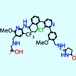 COc1cc(-c2nccc(-c3cccc4c3CCC[C@@H]4Nc3nc(OC)c(CNC[C@@H](C)O)cc3C(F)(F)F)c2Cl)ccc1CNC[C@@H]1CCC(=O)N1